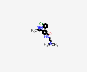 CN(C)CCCNC(=O)c1ccc(/C(=C/C(=N)C(F)(F)F)Nc2ccccc2Cl)cc1